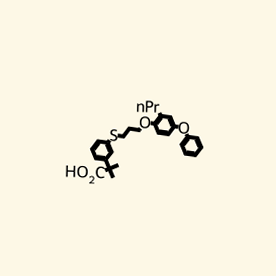 CCCc1cc(Oc2ccccc2)ccc1OCCCSc1cccc(C(C)(C)C(=O)O)c1